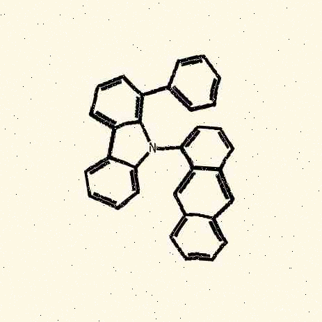 c1ccc(-c2cccc3c4ccccc4n(-c4cccc5cc6ccccc6cc45)c23)cc1